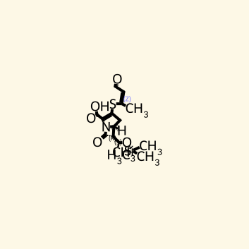 C/C(=C/C=O)SC1=C(C(=O)O)N2C(=O)[C@@H]([C@H](C)O[Si](C)(C)C)[C@H]2C1